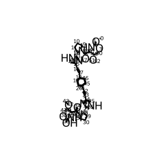 COC(=O)N[C@H](C(=O)N1CCC[C@H]1c1nc(C#Cc2ccc(C#Cc3c[nH]c([C@@H]4CCCN4C(=O)[C@@H](NC(=O)O)[C@@H](C)OC)n3)cc2)c[nH]1)C(C)OC